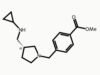 COC(=O)c1ccc(CN2CC[C@H](CNC3CC3)C2)cc1